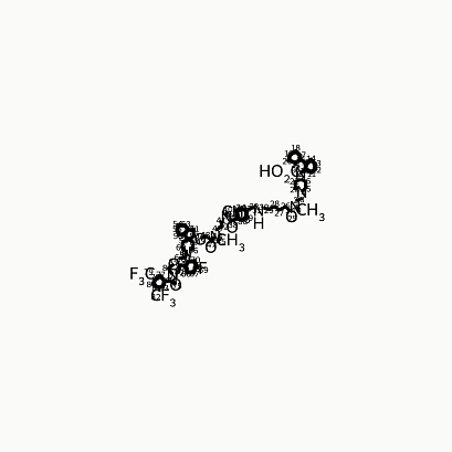 CN(CCN1CCC(N(C(=O)O)c2ccccc2-c2ccccc2)CC1)C(=O)CCCCCNCc1ccc(C(=O)N(C)CCCN(C)C(=O)CO[C@H]2Cc3ccccc3C23CCN(CC[C@]2(c4ccc(F)cc4)CN(C(=O)c4cc(C(F)(F)F)cc(C(F)(F)F)c4)CO2)CC3)cc1